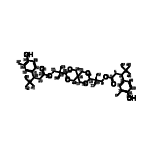 Cc1cc(C(CC(=O)OCC(C)(C)C2OCC3(CO2)COC(C(C)(C)COC(=O)CC(c2ccc(O)c(C)c2)C(C)(C)C)OC3)C(C)(C)C)ccc1O